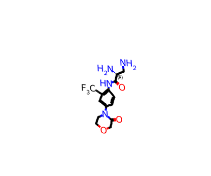 NC[C@@H](N)C(=O)Nc1ccc(N2CCOCC2=O)cc1C(F)(F)F